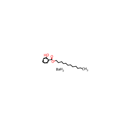 CCCCCCCCCCCCOC(=O)c1ccccc1O.[BaH2]